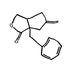 C=C1CC2COC(=O)C2(Cc2ccccc2)C1